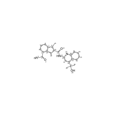 CCCC(=O)c1cccc2c(C)c(C(=O)Nc3cc(C(C)(C)O)c4ccccc4n3)sc12